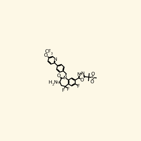 CC(C)(c1nnc(-c2cc3c(cc2F)C(F)(F)C[C@H](N)C(=O)N3Cc2ccc(-c3ccc(OC(F)(F)F)cn3)cc2)o1)S(C)(=O)=O